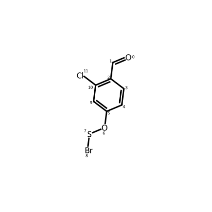 O=Cc1ccc(OSBr)cc1Cl